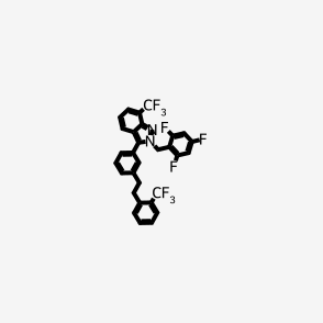 Fc1cc(F)c(Cn2nc3c(C(F)(F)F)cccc3c2-c2cccc(CCc3ccccc3C(F)(F)F)c2)c(F)c1